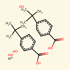 CC(C)(C)c1ccc(C(=O)O)cc1.CC(C)(C)c1ccc(C(=O)O)cc1.[Al+3].[OH-].[OH-].[OH-]